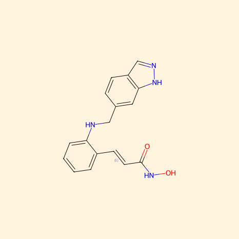 O=C(/C=C/c1ccccc1NCc1ccc2cn[nH]c2c1)NO